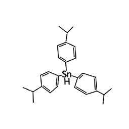 CC(C)c1cc[c]([SnH]([c]2ccc(C(C)C)cc2)[c]2ccc(C(C)C)cc2)cc1